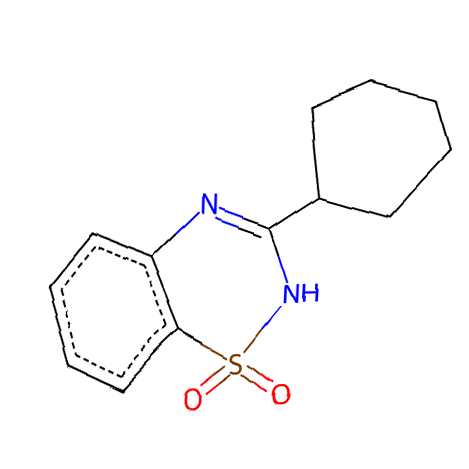 O=S1(=O)NC(C2CCCCC2)=Nc2ccccc21